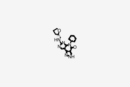 O=c1c2c[nH]nc2c2cnc(NC[C@@H]3CCCO3)nc2n1-c1ccccc1